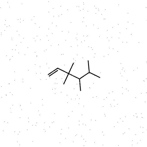 C=CC(C)(C)C(C)[C](C)C